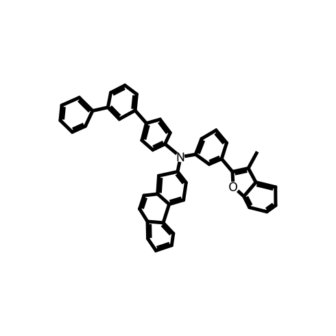 Cc1c(-c2cccc(N(c3ccc(-c4cccc(-c5ccccc5)c4)cc3)c3ccc4c(ccc5ccccc54)c3)c2)oc2ccccc12